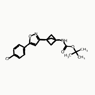 CC(C)(C)OC(=O)NC12CC(c3cc(-c4ccc(Cl)cc4)on3)(C1)C2